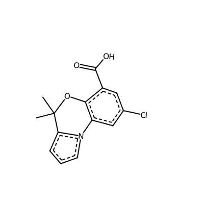 CC1(C)Oc2c(C(=O)O)cc(Cl)cc2-n2cccc21